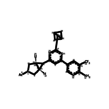 CC(=O)N1C[C@@H]2C(c3cc(-c4cnc(N)c(C(F)(F)F)c4)nc(N4CC5CC4C5)n3)[C@@H]2C1